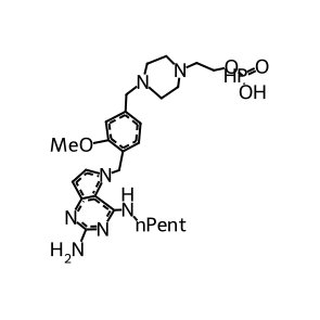 CCCCCNc1nc(N)nc2ccn(Cc3ccc(CN4CCN(CCO[PH](=O)O)CC4)cc3OC)c12